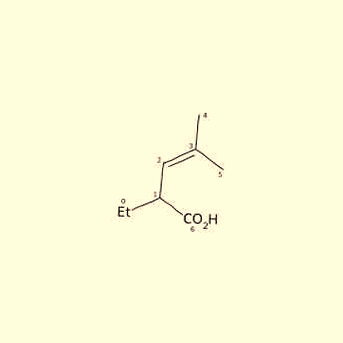 CCC(C=C(C)C)C(=O)O